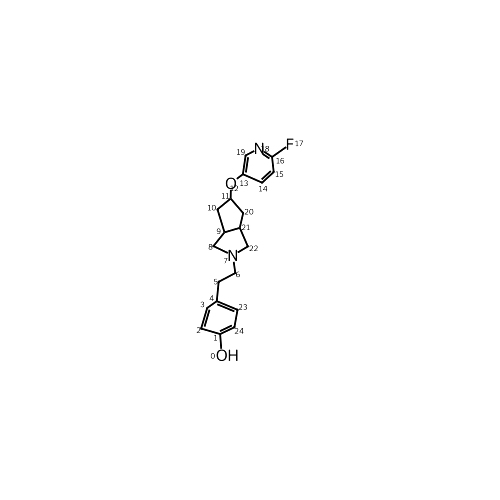 Oc1ccc(CCN2CC3CC(Oc4ccc(F)nc4)CC3C2)cc1